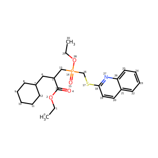 CCOC(=O)C(CC1CCCCC1)CP(=O)(CSc1ccc2ccccc2n1)OCC